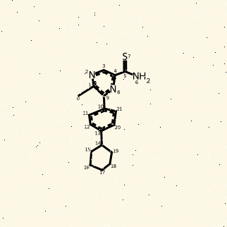 Cc1ncc(C(N)=S)nc1-c1ccc(C2CCCCC2)cc1